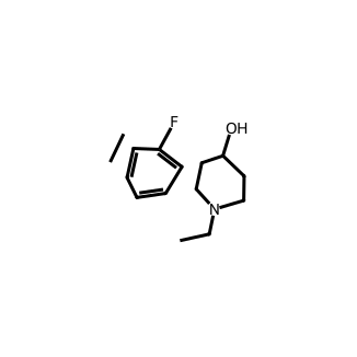 CC.CCN1CCC(O)CC1.Fc1ccccc1